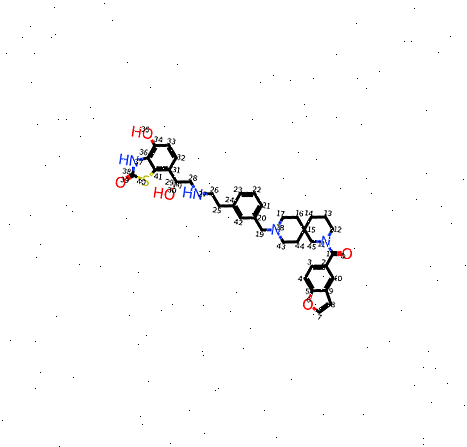 O=C(c1ccc2occc2c1)N1CCCC2(CCN(Cc3cccc(CCNC[C@H](O)c4ccc(O)c5[nH]c(=O)sc45)c3)CC2)C1